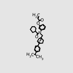 C=CC(=O)Oc1cccc(N(CC23CCC(c4ccc(C(C)C)cc4)(CC2)CC3)C(=O)C2CCCCC2)c1